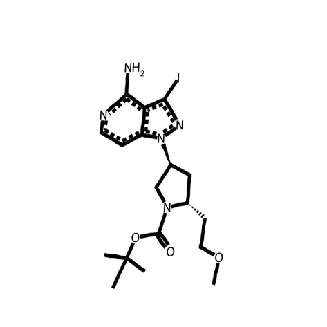 COCC[C@H]1C[C@H](n2nc(I)c3c(N)nccc32)CN1C(=O)OC(C)(C)C